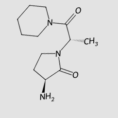 C[C@@H](C(=O)N1CCCCC1)N1CC[C@H](N)C1=O